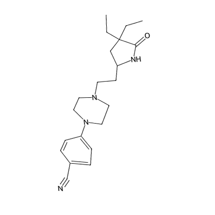 CCC1(CC)CC(CCN2CCN(c3ccc(C#N)cc3)CC2)NC1=O